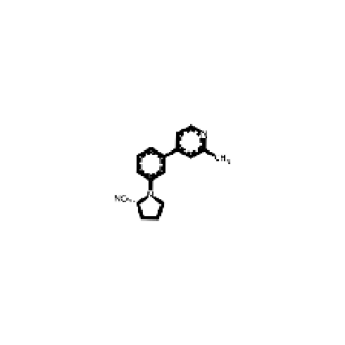 Cc1cc(-c2cccc(N3CCC[C@@H]3C#N)c2)ccn1